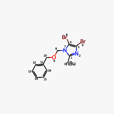 CCCCc1nc(Br)c(Br)n1COCc1ccccc1